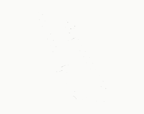 CCCCCCCC/C=C\CCCCCCCC(=O)C(=O)CCCCCCCCCCCCCCCCC.CCCCCCCCCCCCCCCCCC(=O)OCC(O)CO